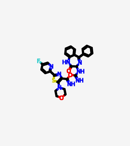 N=C(NC1N=C(c2ccccc2)c2ccccc2NC1=O)OC(=N)c1nc(-c2ccc(F)cn2)sc1N1CCOCC1